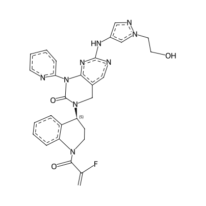 C=C(F)C(=O)N1CC[C@H](N2Cc3cnc(Nc4cnn(CCO)c4)nc3N(c3ccccn3)C2=O)c2ccccc21